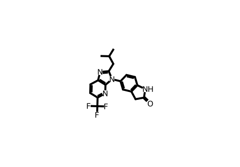 CC(C)Cc1nc2ccc(C(F)(F)F)nc2n1-c1ccc2c(c1)CC(=O)N2